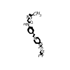 Cc1cnc(CC(=O)N[C@H]2CC[C@H](CCN3CCc4nc(OCC(F)(F)F)sc4CC3)CC2)o1